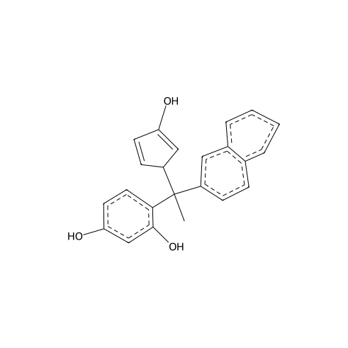 CC(c1ccc2ccccc2c1)(c1ccc(O)cc1O)C1C=CC(O)=C1